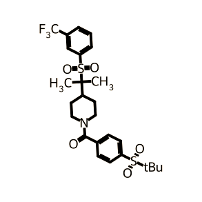 CC(C)(C)S(=O)(=O)c1ccc(C(=O)N2CCC(C(C)(C)S(=O)(=O)c3cccc(C(F)(F)F)c3)CC2)cc1